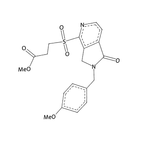 COC(=O)CCS(=O)(=O)c1nccc2c1CN(Cc1ccc(OC)cc1)C2=O